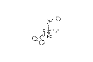 CN(CCC[C@H](NC(=O)OCC1c2ccccc2-c2ccccc21)C(=O)O)CCc1ccccc1.Cl